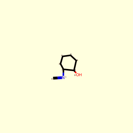 C=NC1CCCCC1O